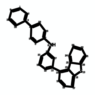 c1ccc(-c2ccc(Nc3cccc(-c4cccc5sc6ccccc6c45)c3)cc2)cc1